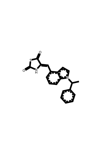 CC(c1ccccc1)n1ccc2c(C=C3NC(=O)SC3=O)cccc21